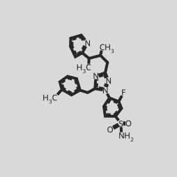 Cc1cccc(Cc2nc(CC(C)C(C)c3ccccn3)nn2-c2ccc(S(N)(=O)=O)cc2F)c1